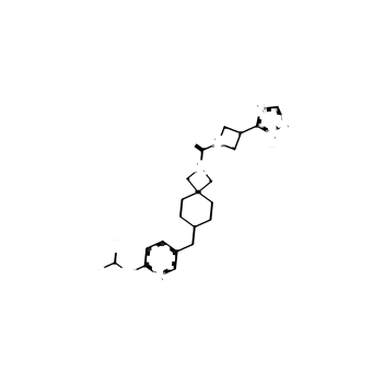 O=C(N1CC(c2ncn[nH]2)C1)N1CC2(CCC(Cc3ccc(OC(F)F)nc3)CC2)C1